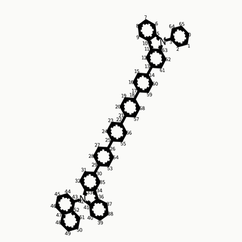 c1ccc(-n2c3ccccc3c3cc(-c4ccc(-c5ccc(-c6ccc(-c7ccc(-c8ccc9c(c8)c8ccccc8n9-c8cccc9ccccc89)cc7)cc6)cc5)cc4)ccc32)cc1